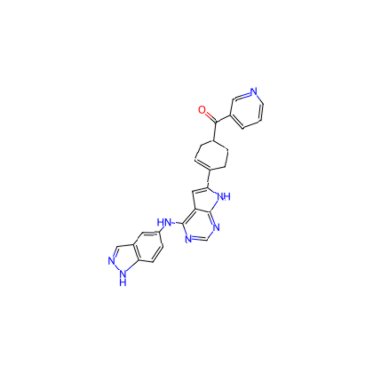 O=C(c1cccnc1)C1CC=C(c2cc3c(Nc4ccc5[nH]ncc5c4)ncnc3[nH]2)CC1